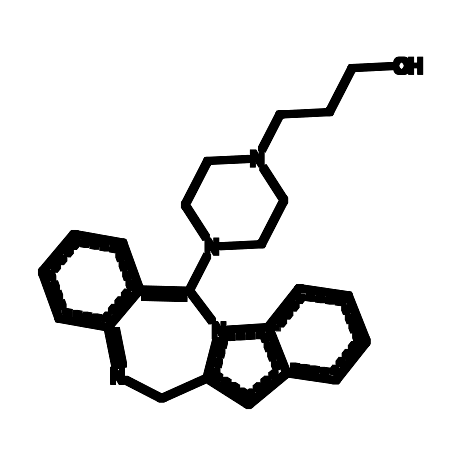 OCCCN1CCN(C2=c3ccccc3=NCc3cc4ccccc4n32)CC1